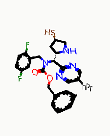 CCCc1cnc(C([C@@H]2C[C@@H](S)CN2)N(Cc2cc(F)ccc2F)C(=O)OCc2ccccc2)nc1